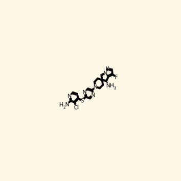 Nc1nccc(Sc2cnc(N3CCC4(CC3)Cn3ncc(F)c3[C@H]4N)cn2)c1Cl